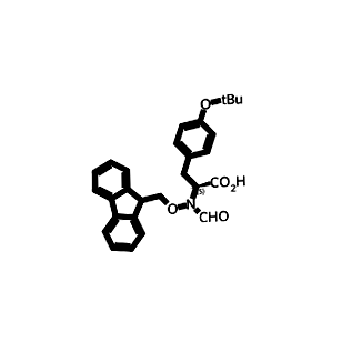 CC(C)(C)Oc1ccc(C[C@@H](C(=O)O)N(C=O)OCC2c3ccccc3-c3ccccc32)cc1